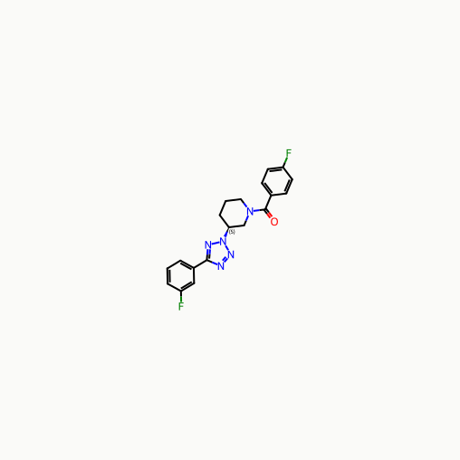 O=C(c1ccc(F)cc1)N1CCC[C@H](n2nnc(-c3cccc(F)c3)n2)C1